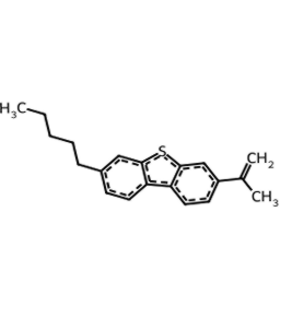 C=C(C)c1ccc2c(c1)sc1cc(CCCCC)ccc12